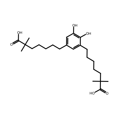 CC(C)(CCCCCc1cc(O)c(O)c(CCCCCC(C)(C)C(=O)O)c1)C(=O)O